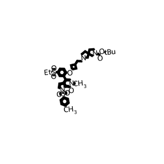 CCS(=O)(=O)c1ccc(OC2CC(CCN3CCC4(CCN(C(=O)OC(C)(C)C)C4)C3)C2)c(-c2cn(C)c(=O)c3c2ccn3S(=O)(=O)c2ccc(C)cc2)c1